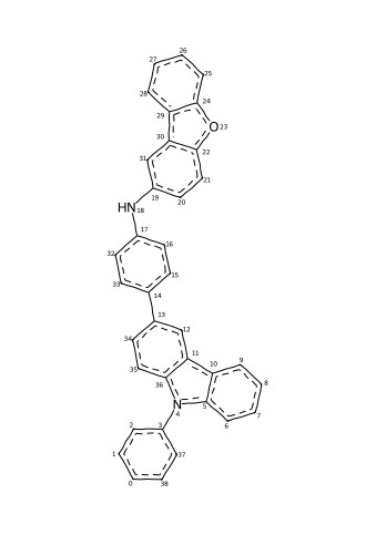 c1ccc(-n2c3ccccc3c3cc(-c4ccc(Nc5ccc6oc7ccccc7c6c5)cc4)ccc32)cc1